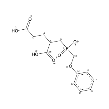 O=C(O)CCC(CP(=O)(O)COc1ccccc1)C(=O)O